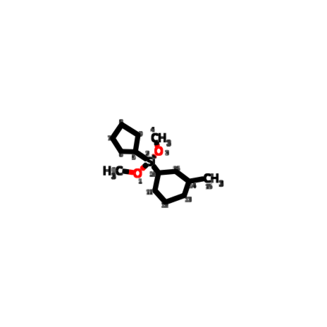 CO[Si](OC)(C1CCCC1)C1CCCC(C)C1